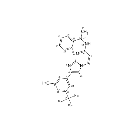 Cc1cc(-c2ncn(/C=C\C(=O)NN(C)c3ccccn3)n2)cc(C(F)(F)F)c1